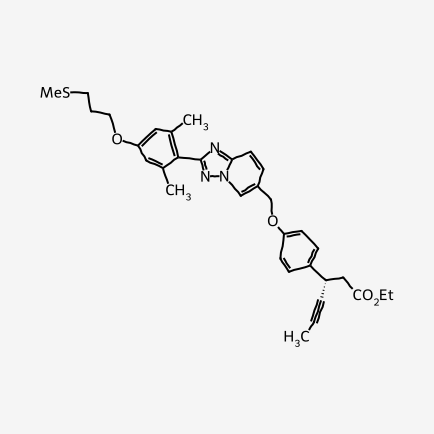 CC#C[C@@H](CC(=O)OCC)c1ccc(OCc2ccc3nc(-c4c(C)cc(OCCCSC)cc4C)nn3c2)cc1